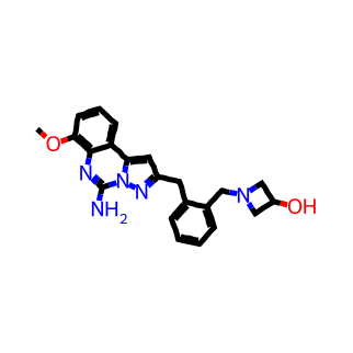 COc1cccc2c1nc(N)n1nc(Cc3ccccc3CN3CC(O)C3)cc21